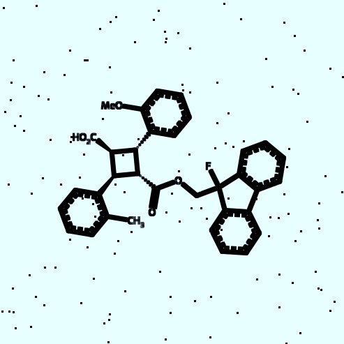 COc1ccccc1[C@H]1[C@H](C(=O)O)[C@H](c2ccccc2C)[C@H]1C(=O)OCC1(F)c2ccccc2-c2ccccc21